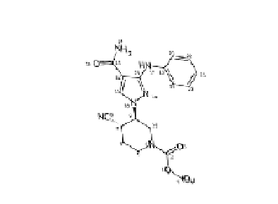 CC(C)(C)OC(=O)N1CC[C@H](C#N)[C@@H](n2cc(C(N)=O)c(Nc3ccccc3)n2)C1